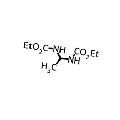 CCOC(=O)NC(C)NC(=O)OCC